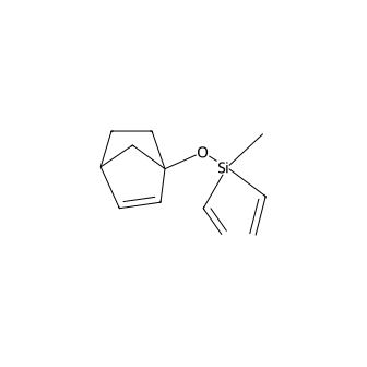 C=C[Si](C)(C=C)OC12C=CC(CC1)C2